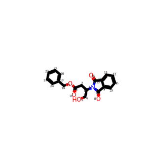 O=C(CC(CO)N1C(=O)c2ccccc2C1=O)OCc1ccccc1